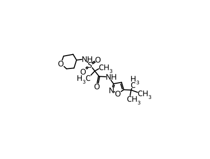 CC(C)(C)c1cc(NC(=O)C(C)(C)S(=O)(=O)NC2CCOCC2)no1